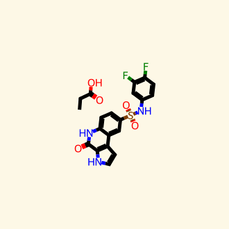 CCC(=O)O.O=c1[nH]c2ccc(S(=O)(=O)Nc3ccc(F)c(F)c3)cc2c2cc[nH]c12